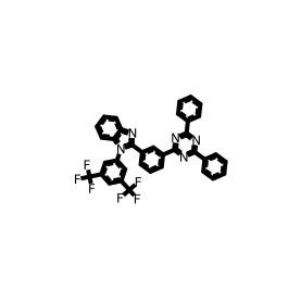 FC(F)(F)c1cc(-n2c(-c3cccc(-c4nc(-c5ccccc5)nc(-c5ccccc5)n4)c3)nc3ccccc32)cc(C(F)(F)F)c1